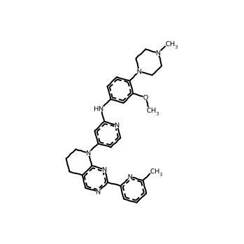 COc1cc(Nc2cc(N3CCCc4cnc(-c5cccc(C)n5)nc43)ccn2)ccc1N1CCN(C)CC1